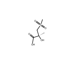 C[C@@](O)(CS(C)(=O)=O)C(=O)O